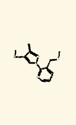 COCc1cccnc1-n1cc(OC)c(C)n1